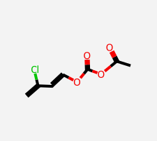 C=C(Cl)C=COC(=O)OC(C)=O